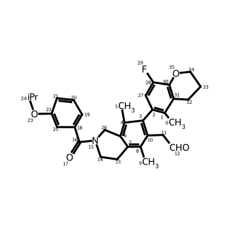 Cc1c(-c2c(C)c3c(c(C)c2CC=O)CCN(C(=O)c2cccc(OC(C)C)c2)C3)cc(F)c2c1CCCO2